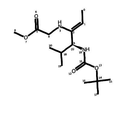 CC=C(NCC(=O)OC)[C@@H](NC(=O)OC(C)(C)C)C(C)C